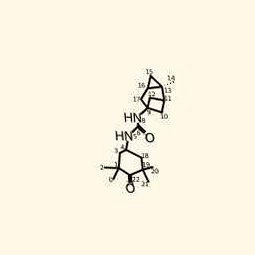 CC1(C)CC(NC(=O)NC23CC(C2)[C@]2(C)CC2C3)CC(C)(C)C1=O